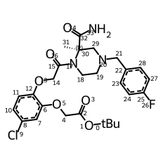 CC(C)(C)OC(=O)COc1cc(Cl)ccc1OCC(=O)N1CCN(Cc2ccc(F)cc2)C[C@]1(C)C(N)=O